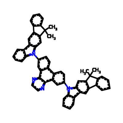 CC1(C)c2ccccc2-c2cc3c4ccccc4n(-c4ccc5c6ccc(-n7c8ccccc8c8cc9c(cc87)C(C)(C)c7ccccc7-9)cc6c6nccnc6c5c4)c3cc21